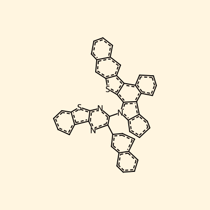 c1ccc2cc(-c3nc4c(nc3-n3c5ccccc5c5c6ccccc6c6c7cc8ccccc8cc7sc6c53)sc3ccccc34)ccc2c1